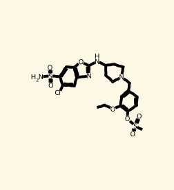 CCOc1cc(CN2CCC(Nc3nc4cc(Cl)c(S(N)(=O)=O)cc4o3)CC2)ccc1OS(C)(=O)=O